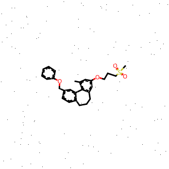 Cc1cc(OCCCS(C)(=O)=O)cc2c1-c1cc(COc3ccccc3)ccc1CCC2